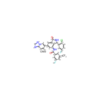 COc1cc2ncnn2cc1-c1cc(NC(=O)c2cc(F)cc(C(F)(F)F)c2)c2c(c1)C(=O)NC2c1cc(F)ccc1Cl